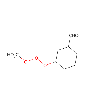 O=CC1CCCC(OOOC(=O)O)C1